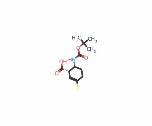 CC(C)(C)OC(=O)N[C@H]1CCC(F)=C[C@@H]1C(=O)O